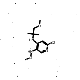 COCC(C)(C)Nc1cc(Cl)ncc1NOC